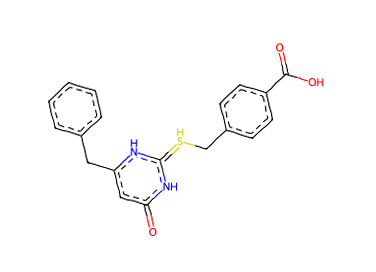 O=C(O)c1ccc(C[SH]=c2[nH]c(Cc3ccccc3)cc(=O)[nH]2)cc1